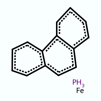 P.[Fe].c1ccc2c(c1)ccc1ccccc12